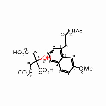 COc1ccc2cccc(CCNC(C)=O)c2c1.O=C(O)CC(O)(CC(=O)O)C(=O)O